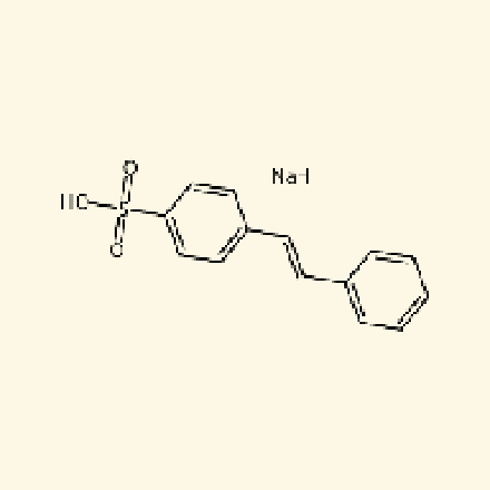 O=S(=O)(O)c1ccc(C=Cc2ccccc2)cc1.[NaH]